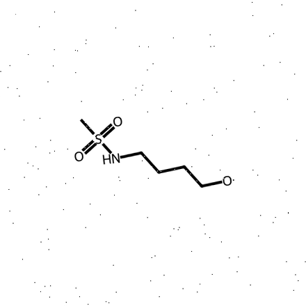 CS(=O)(=O)NCCCC[O]